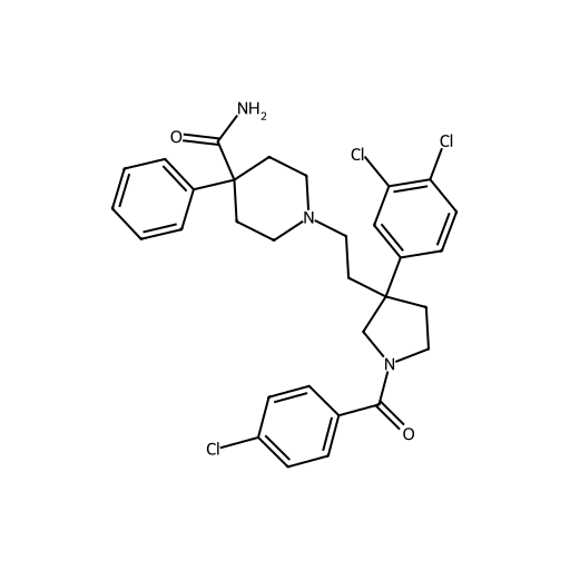 NC(=O)C1(c2ccccc2)CCN(CCC2(c3ccc(Cl)c(Cl)c3)CCN(C(=O)c3ccc(Cl)cc3)C2)CC1